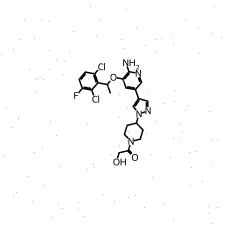 CC(Oc1cc(-c2cnn(C3CCN(C(=O)CO)CC3)c2)cnc1N)c1c(Cl)ccc(F)c1Cl